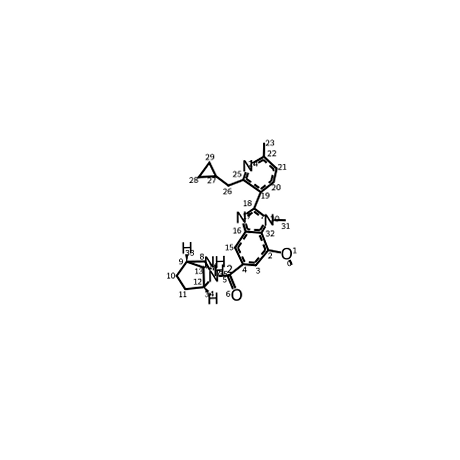 COc1cc(C(=O)N2C[C@H]3CC[C@@H]2[C@@H]3N)cc2nc(-c3ccc(C)nc3CC3CC3)n(C)c12